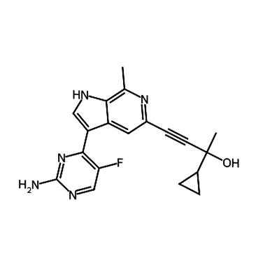 Cc1nc(C#CC(C)(O)C2CC2)cc2c(-c3nc(N)ncc3F)c[nH]c12